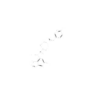 O=C(Cc1ccc(Cl)nc1)N1CCC(C(F)(F)C(O)c2cc(Cl)cc3cn[nH]c23)CC1